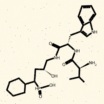 CC(C)[C@H](N)C(=O)N[C@@H](Cc1c[nH]c2ccccc12)C(=O)NC[C@H](O)CC(C1CCCCC1)[PH](=O)O